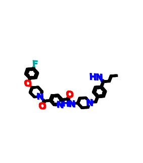 CCCC(=N)c1ccc(CN2CCC(NC(=O)c3ccc(C(=O)N4CCC(Oc5ccc(F)cc5)CC4)cn3)CC2)cc1